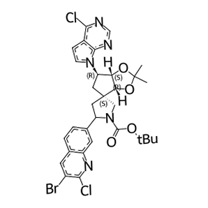 CC(C)(C)OC(=O)N1C[C@]2(CC1c1ccc3cc(Br)c(Cl)nc3c1)C[C@@H](n1ccc3c(Cl)ncnc31)[C@@H]1OC(C)(C)O[C@@H]12